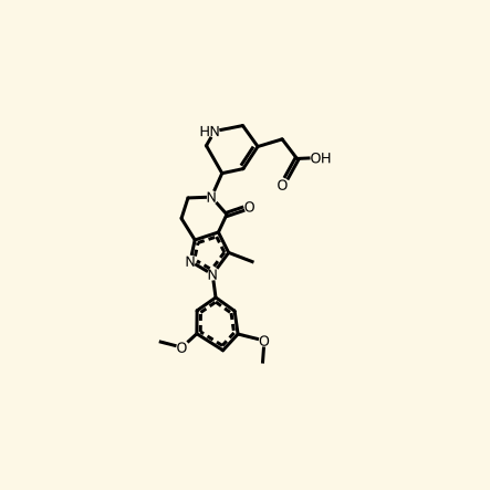 COc1cc(OC)cc(-n2nc3c(c2C)C(=O)N(C2C=C(CC(=O)O)CNC2)CC3)c1